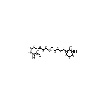 CC1NCCCN1CCCCOCCCCN1CCCNC1C